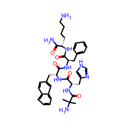 CC(C)(N)C(=O)N[C@@H](Cc1c[nH]cn1)C(=O)N[C@H](Cc1ccc2ccccc2c1)C(=O)N[C@H](Cc1ccccc1)C(=O)N[C@@H](CCCCN)C(N)=O